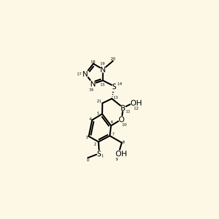 CSc1ccc2c(c1CO)OB(O)[C@@H](Sc1nncn1C)C2